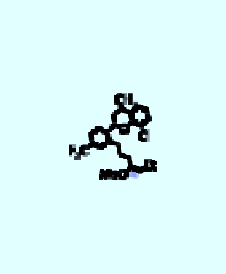 C=C1CC(c2ccc(C(F)(F)F)cc2CCC/C(=C\CC)OC)Oc2c(Cl)cccc21